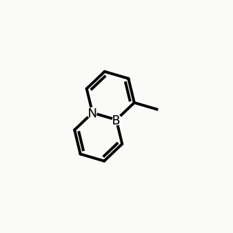 CC1=CC=CN2C=CC=CB12